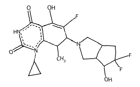 CC1c2c(c(=O)[nH]c(=O)n2C2CC2)C(O)=C(F)C1N1CC2CC(F)(F)C(O)C2C1